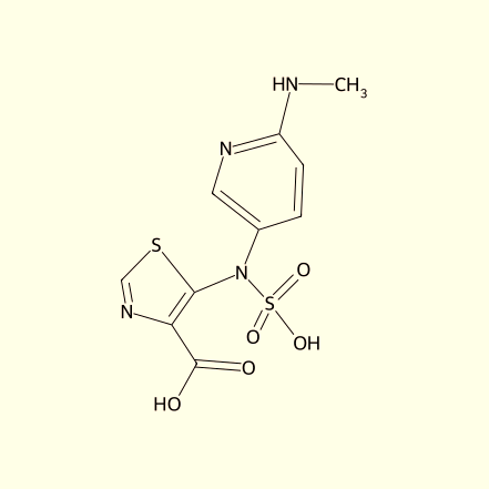 CNc1ccc(N(c2scnc2C(=O)O)S(=O)(=O)O)cn1